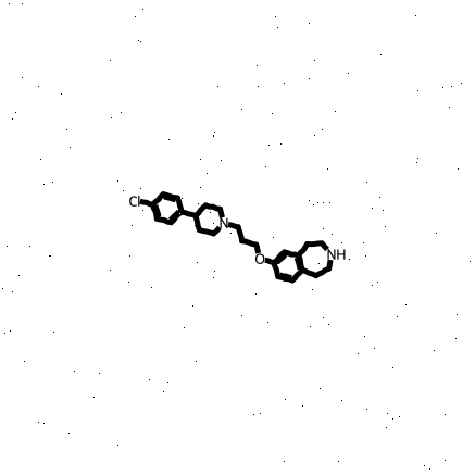 Clc1ccc(C2CCN(CCCOc3ccc4c(c3)CCNCC4)CC2)cc1